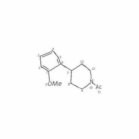 COc1ccccc1C1CCN(C(C)=O)CC1